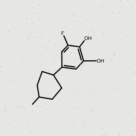 CC1CCC(c2cc(O)c(O)c(F)c2)CC1